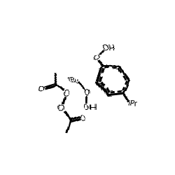 CC(=O)OOC(C)=O.CC(C)(C)OO.CC(C)c1ccc(OO)cc1